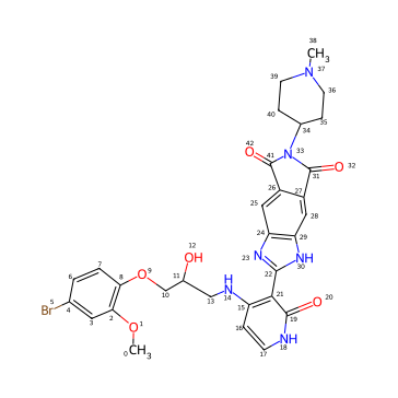 COc1cc(Br)ccc1OCC(O)CNc1cc[nH]c(=O)c1-c1nc2cc3c(cc2[nH]1)C(=O)N(C1CCN(C)CC1)C3=O